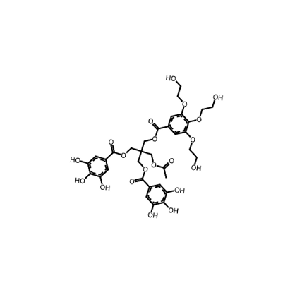 CC(=O)OCC(COC(=O)c1cc(O)c(O)c(O)c1)(COC(=O)c1cc(O)c(O)c(O)c1)COC(=O)c1cc(OCCO)c(OCCO)c(OCCO)c1